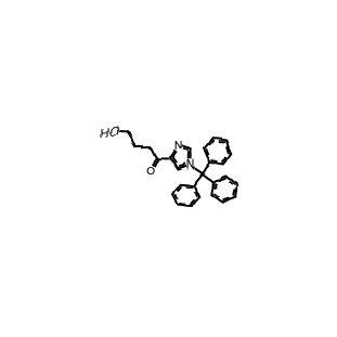 O=C(CCCO)c1cn(C(c2ccccc2)(c2ccccc2)c2ccccc2)cn1